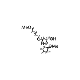 COCCOCCOc1cc(CO)nc(-c2ccccc2OC)n1